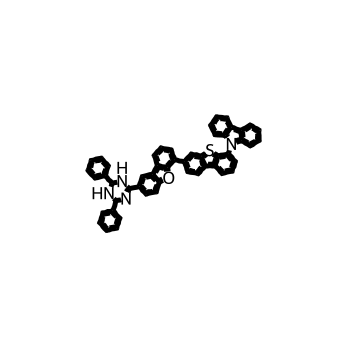 c1ccc(C2N=C(c3ccc4oc5c(-c6ccc7c(c6)sc6c(-n8c9ccccc9c9ccccc98)cccc67)cccc5c4c3)NC(c3ccccc3)N2)cc1